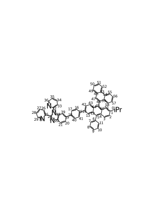 CC(C)c1ccc2c(-c3ccccc3)c3cc(-c4ccc(-c5ccc6nc(-c7ccccn7)n(-c7ccccn7)c6c5)cc4)ccc3c(-c3cc4ccccc4c4ccccc34)c2c1